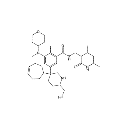 Cc1c(C(=O)NCC2C(=O)NC(C)CC2C)cc(C2(C3CCC=CCC3)CCC(CO)NC2)cc1N(C)C1CCOCC1